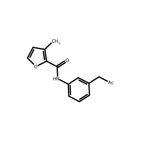 CC(=O)[CH]c1cccc(NC(=O)c2occc2C)c1